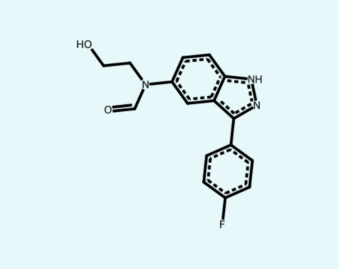 O=CN(CCO)c1ccc2[nH]nc(-c3ccc(F)cc3)c2c1